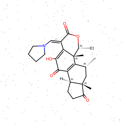 CC[C@H]1OC(=O)/C(=C/N2CCCC2)C2=C(O)C(=O)C3=C([C@H](C)C[C@]4(C)C(=O)CC[C@@H]34)[C@]21C